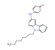 CCCCCCCCn1c2ccccc2c2cc(NC3=CCC(=O)C=C3)ccc21